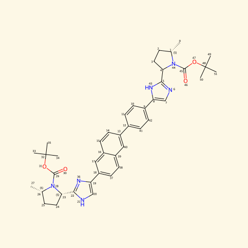 C[C@H]1CCC(c2ncc(-c3ccc(-c4ccc5cc(-c6c[nH]c([C@@H]7CC[C@H](C)N7C(=O)OC(C)(C)C)n6)ccc5c4)cc3)[nH]2)N1C(=O)OC(C)(C)C